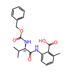 Cc1cccc(NC(=O)[C@H](NC(=O)OCc2ccccc2)C(C)C)c1C(=O)O